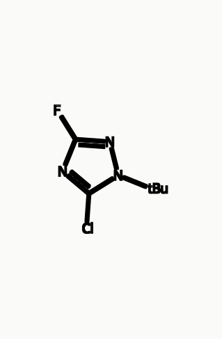 CC(C)(C)n1nc(F)nc1Cl